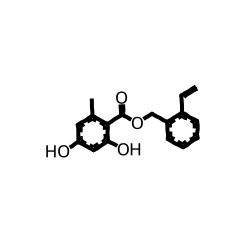 C=Cc1ccccc1COC(=O)c1c(C)cc(O)cc1O